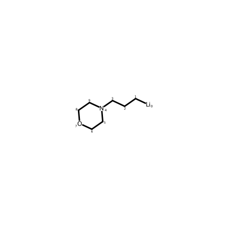 [Li][CH2]CCN1CCOCC1